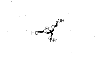 CCCOCC(CC)(COCCO)COCCO